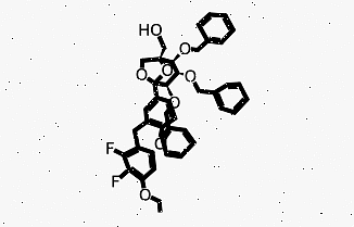 CCOc1ccc(Cc2cc(C34OC[C@@](CO)(O3)[C@@H](OCc3ccccc3)[C@H](OCc3ccccc3)[C@H]4OCc3ccccc3)ccc2Cl)c(F)c1F